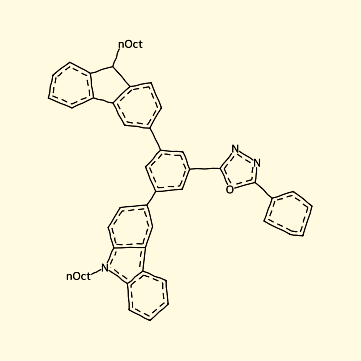 CCCCCCCCC1c2ccccc2-c2cc(-c3cc(-c4ccc5c(c4)c4ccccc4n5CCCCCCCC)cc(-c4nnc(-c5ccccc5)o4)c3)ccc21